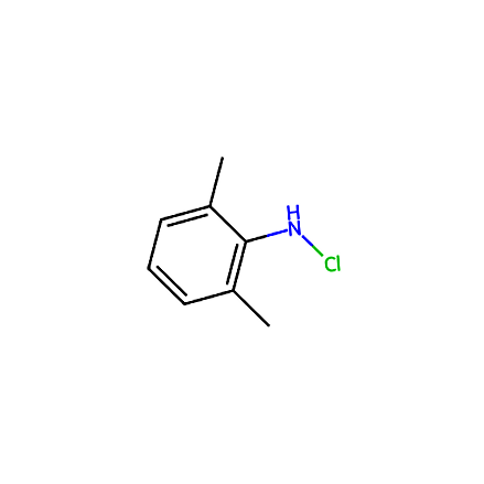 Cc1cccc(C)c1NCl